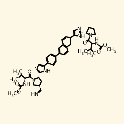 COC(=O)N[C@H](C(=O)N1C[C@H](C=N)C[C@H]1c1ncc(-c2ccc(-c3ccc4c(c3)C=CC(c3cnc([C@@H]5CCCN5C(=O)[C@@H](NC(=O)OC)C(C)C)[nH]3)C4)cc2)[nH]1)C(C)C